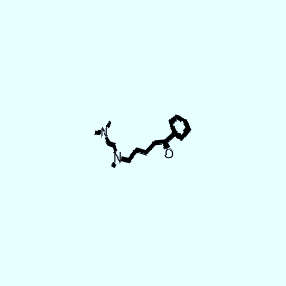 CN(C)CCN(C)CCCCC(=O)c1ccccc1